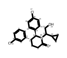 O=C1CC[C@H](c2cccc(Cl)c2)[C@@H](c2ccc(Cl)cc2)N1C(CO)C1CC1